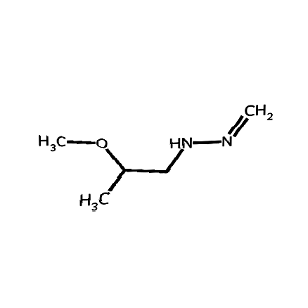 C=NNCC(C)OC